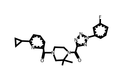 CC1(C)CN(C(=O)c2cccc(C3CC3)n2)CCN1C(=O)c1nnn(-c2cccc(F)c2)n1